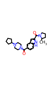 CC1CCCN1C(=O)c1cc2cc(C(=O)N3CCN(C4CCCC4)CC3)ccc2[nH]1